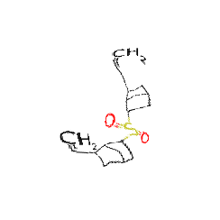 C=CC1CC2CC1C(S(=O)(=O)C1CC3CC(C=C)C1C3)C2